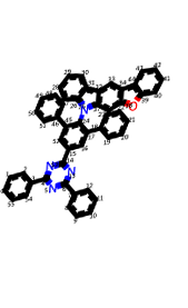 c1ccc(-c2nc(-c3ccccc3)nc(-c3cc(-c4ccccc4)c(-n4c5ccccc5c5cc6c(cc54)oc4ccccc46)c(-c4ccccc4)c3)n2)cc1